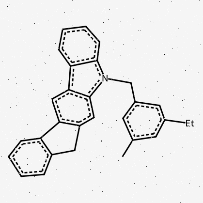 CCc1cc(C)cc(Cn2c3ccccc3c3cc4c(cc32)Cc2ccccc2-4)c1